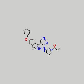 C=CC(=O)N1CCC[C@@H](Nc2ncncc2C(=N)c2ccc(Oc3ccccc3)cc2C#N)C1